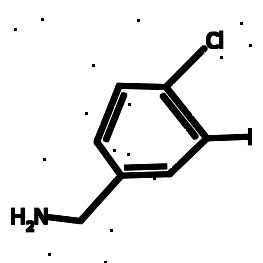 NCc1ccc(Cl)c(I)c1